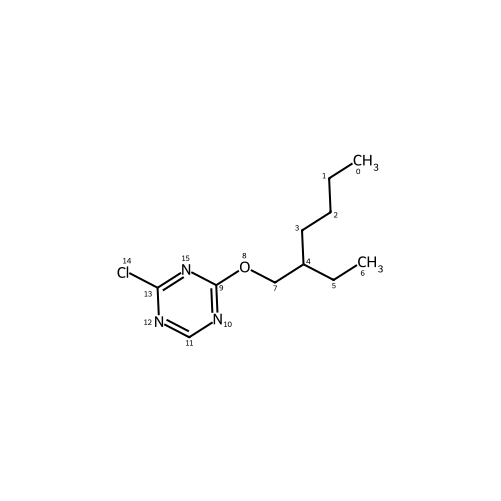 CCCCC(CC)COc1ncnc(Cl)n1